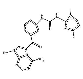 Cc1ccc(Cl)cc1NC(=O)Nc1cccc(C(=O)c2cn(C(C)C)c3ncnc(N)c23)c1